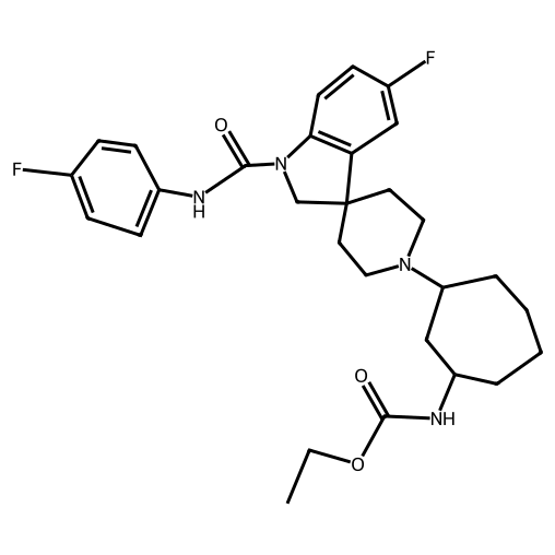 CCOC(=O)NC1CCCCC(N2CCC3(CC2)CN(C(=O)Nc2ccc(F)cc2)c2ccc(F)cc23)C1